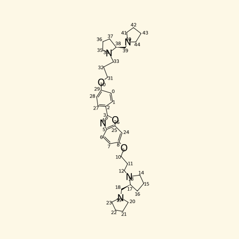 c1cc(-c2nc3ccc(OCCCN4CCC[C@H]4CN4CCCC4)cc3o2)ccc1OCCCN1CCC[C@H]1CN1CCCC1